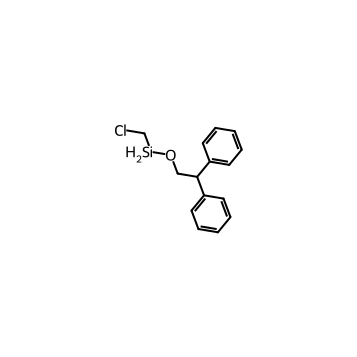 ClC[SiH2]OCC(c1ccccc1)c1ccccc1